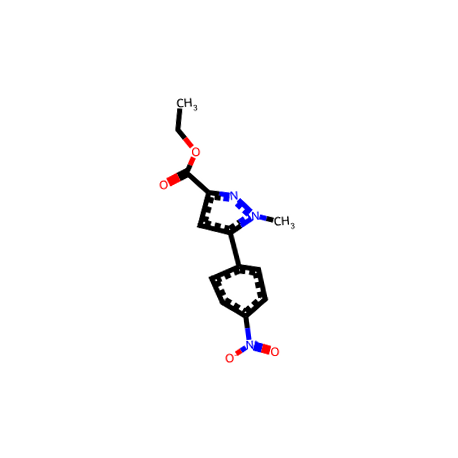 CCOC(=O)c1cc(-c2ccc([N+](=O)[O-])cc2)n(C)n1